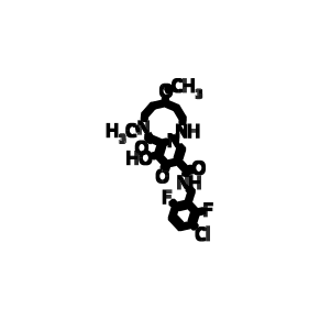 COC1CCNn2cc(C(=O)NCc3c(F)ccc(Cl)c3F)c(=O)c(O)c2C(=O)N(C)CC1